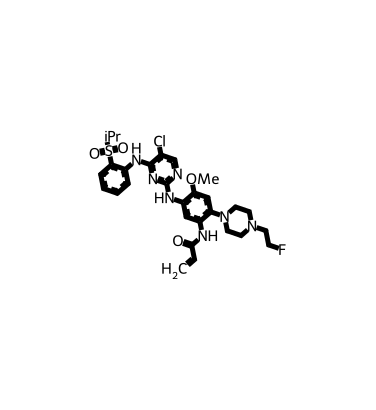 C=CC(=O)Nc1cc(Nc2ncc(Cl)c(Nc3ccccc3S(=O)(=O)C(C)C)n2)c(OC)cc1N1CCN(CCF)CC1